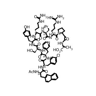 CC(=O)N[C@H](Cc1ccc2ccccc2c1)C(=O)N[C@H](Cc1ccc(Cl)cc1)C(=O)N[C@H](Cc1cccnc1)C(=O)N[C@@H](CO)C(=O)N[C@@H](Cc1ccc(O)cc1)C(=O)N[C@H](CCCNC(N)=O)C(=O)N[C@@H](CC(C)C)C(=O)N[C@@H](CCCNC(=N)N)C(=O)N1CCCC1C1OC1N[C@H](C)C(=O)O